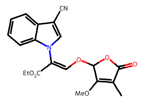 CCOC(=O)/C(=C/OC1OC(=O)C(C)=C1OC)n1cc(C#N)c2ccccc21